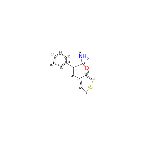 NC(=O)C(CC1=CCSC=C1)c1ccccc1